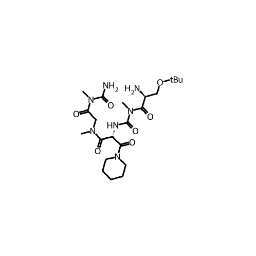 CN(CC(=O)N(C)C(N)=O)C(=O)[C@H](NC(=O)N(C)C(=O)[C@@H](N)COC(C)(C)C)C(=O)N1CCCCC1